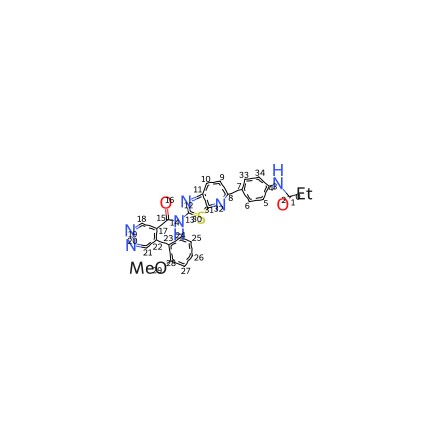 CCC(=O)Nc1ccc(-c2ccc3nc(NC(=O)c4cnncc4-c4ccccc4OC)sc3n2)cc1